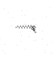 CCCCCCCCCCCCC(CC)OOCC